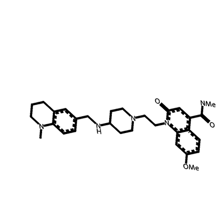 CNC(=O)c1cc(=O)n(CCN2CCC(NCc3ccc4c(c3)CCCN4C)CC2)c2cc(OC)ccc12